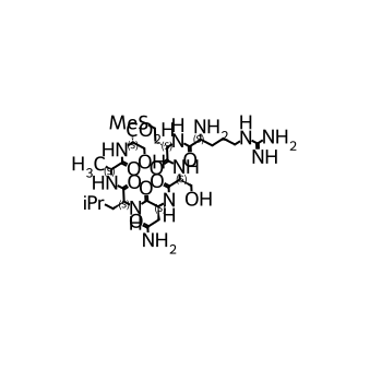 CSCC[C@H](NC(=O)[C@@H](N)CCCNC(=N)N)C(=O)N[C@@H](CO)C(=O)N[C@@H](CC(N)=O)C(=O)N[C@@H](CC(C)C)C(=O)N[C@@H](C)C(=O)N[C@@H](CO)C(=O)O